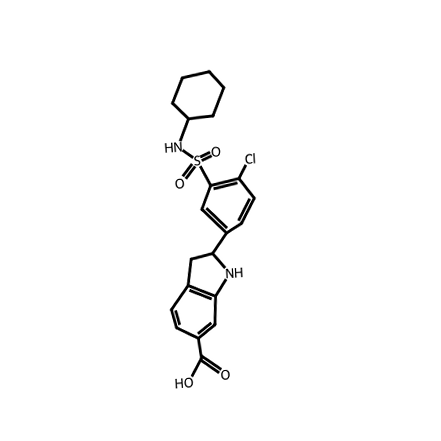 O=C(O)c1ccc2c(c1)NC(c1ccc(Cl)c(S(=O)(=O)NC3CCCCC3)c1)C2